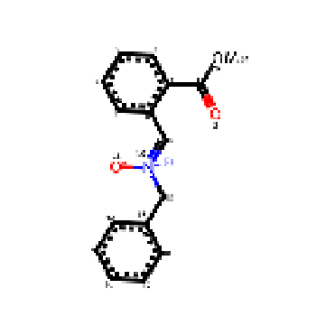 COC(=O)c1ccccc1/C=[N+](\[O-])Cc1ccccc1